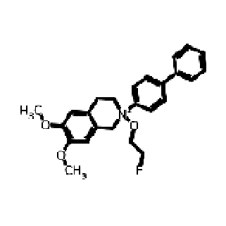 COc1cc2c(cc1OC)C[N+](OCCF)(c1ccc(-c3ccccc3)cc1)CC2